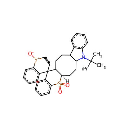 CC(C)C(C)(C)N1c2ccccc2C2CCC3[C@@H](CCC21)S(=O)(=O)c1ccccc1C31c2ccccc2[S+]([O-])c2ccccc21